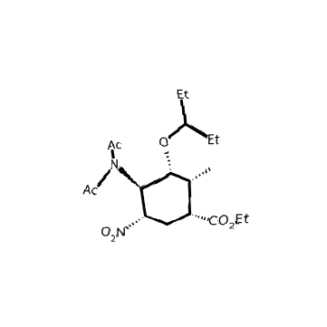 CCOC(=O)[C@@H]1C[C@H]([N+](=O)[O-])[C@@H](N(C(C)=O)C(C)=O)[C@H](OC(CC)CC)[C@@H]1C